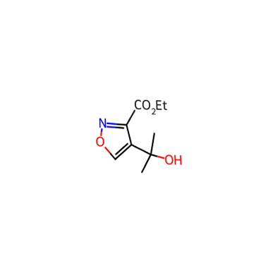 CCOC(=O)c1nocc1C(C)(C)O